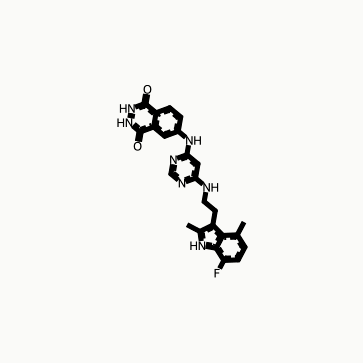 Cc1[nH]c2c(F)ccc(C)c2c1CCNc1cc(Nc2ccc3c(=O)[nH][nH]c(=O)c3c2)ncn1